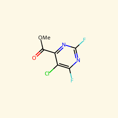 COC(=O)c1nc(F)nc(F)c1Cl